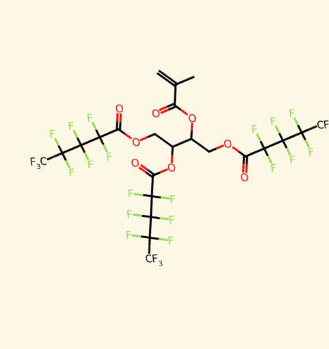 C=C(C)C(=O)OC(COC(=O)C(F)(F)C(F)(F)C(F)(F)C(F)(F)F)C(COC(=O)C(F)(F)C(F)(F)C(F)(F)C(F)(F)F)OC(=O)C(F)(F)C(F)(F)C(F)(F)C(F)(F)F